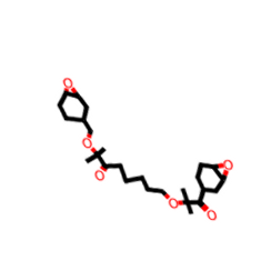 CC(C)(OCC1CCC2OC2C1)C(=O)CCCCCOC(C)(C)C(=O)C1CCC2OC2C1